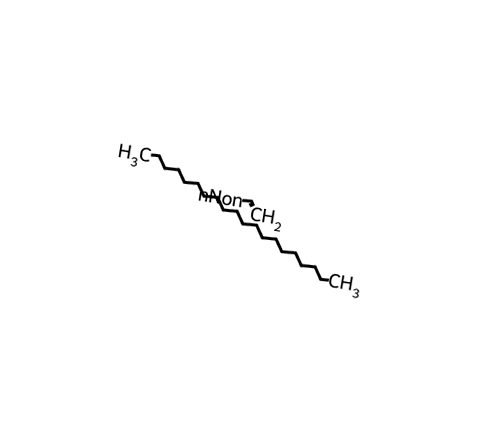 C=CCCCCCCCCC.CCCCCCCCCCCCCCCCCCCC